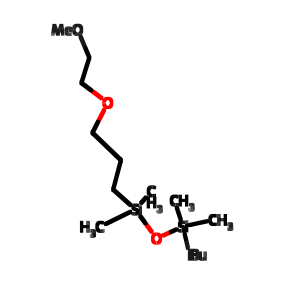 CCC(C)[Si](C)(C)O[Si](C)(C)CCCOCCOC